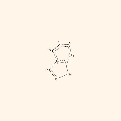 [c]1cccc2c1C=CC2